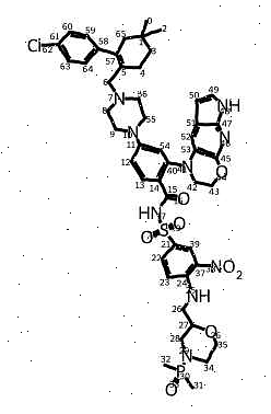 CC1(C)CCC(CN2CCN(c3ccc(C(=O)NS(=O)(=O)c4ccc(NCC5CN(P(C)(C)=O)CCO5)c([N+](=O)[O-])c4)c(N4CCOc5nc6[nH]ccc6cc54)c3)CC2)=C(c2ccc(Cl)cc2)C1